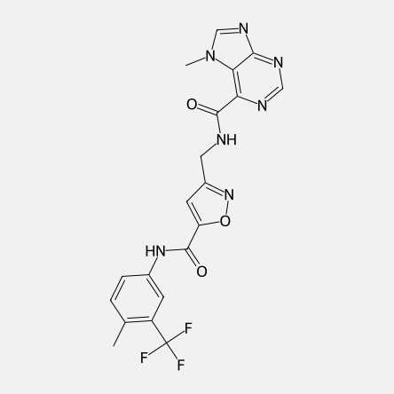 Cc1ccc(NC(=O)c2cc(CNC(=O)c3ncnc4ncn(C)c34)no2)cc1C(F)(F)F